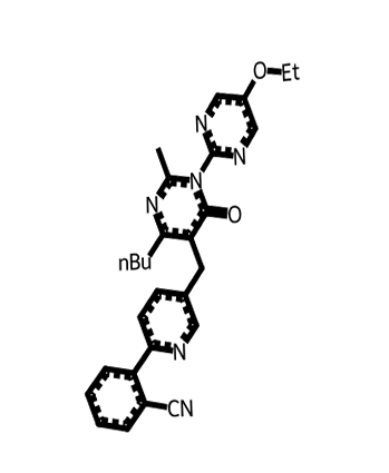 CCCCc1nc(C)n(-c2ncc(OCC)cn2)c(=O)c1Cc1ccc(-c2ccccc2C#N)nc1